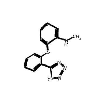 CNc1ccccc1Sc1ccccc1-c1nnn[nH]1